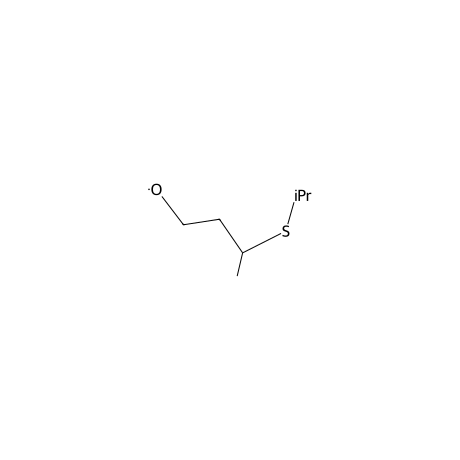 CC(C)SC(C)CC[O]